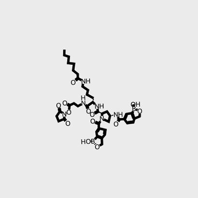 CCCCCCCC(=O)NCCCC[C@H](NC(=O)[C@H]1C[C@H](NC(=O)c2ccc3c(c2)B(O)OC3)CN1C(=O)c1ccc2c(c1)B(O)OC2)C(=O)NCCC(=O)ON1C(=O)CCC1=O